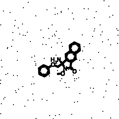 CON1C(=O)c2cc3ccccc3cc2C1(N)COc1ccccc1